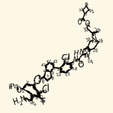 CC(C)Oc1cc(OC2CCc3c(-c4cccc(NC(=O)c5nc6c(n5C)CCN(C(C)COC(=O)C5CCC5)C6)c4Cl)cccc32)c(Cl)c(F)c1CN